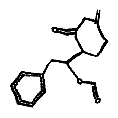 O=COC(Cc1ccccc1)C1CCNCC1=O